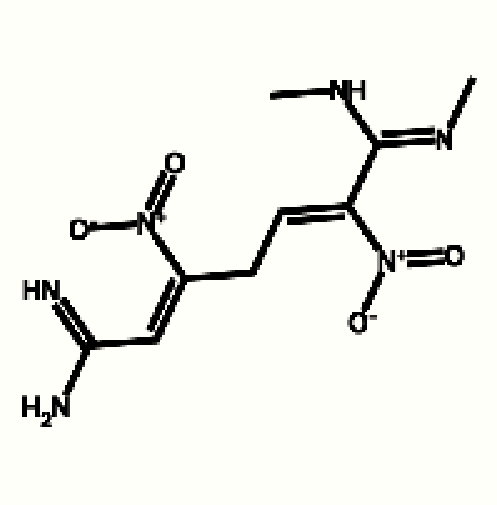 CN=C(NC)C(=CCC(=CC(=N)N)[N+](=O)[O-])[N+](=O)[O-]